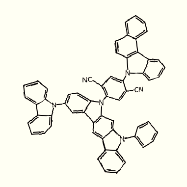 N#Cc1cc(-n2c3ccccc3c3c4ccccc4ccc32)c(C#N)cc1-n1c2ccc(-n3c4ccccc4c4ccccc43)cc2c2cc3c4ccccc4n(-c4ccccc4)c3cc21